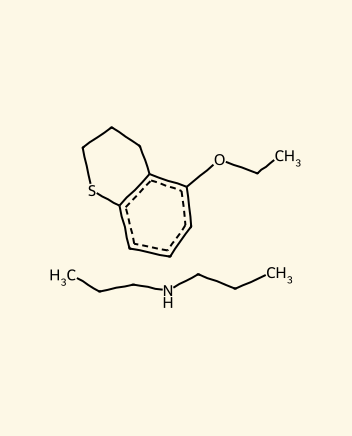 CCCNCCC.CCOc1cccc2c1CCCS2